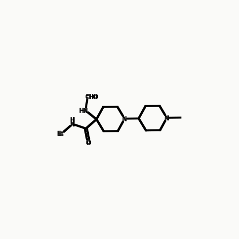 CCNC(=O)C1(NC=O)CCN(C2CCN(C)CC2)CC1